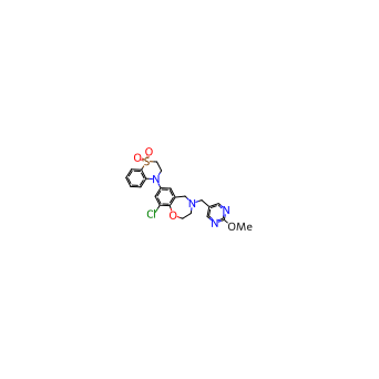 COc1ncc(CN2CCOc3c(Cl)cc(N4CCS(=O)(=O)c5ccccc54)cc3C2)cn1